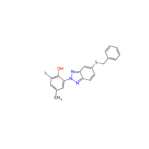 Cc1cc(I)c(O)c(-n2nc3ccc(SCc4ccccc4)cc3n2)c1